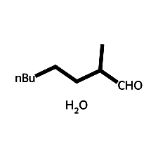 CCCCCCC(C)C=O.O